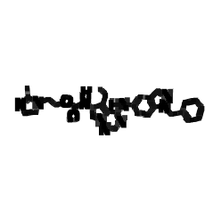 CCc1c(NC(=O)OCCn2ccnc2C)cn2ncnc(Nc3ccc4c(cnn4Cc4ccccc4)c3)c12